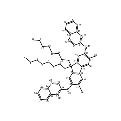 CCCCCCCCC1(CCCCCCCC)c2cc(Sc3cnc4ccccc4n3)c(C)cc2-c2cc(C)c(Sc3cnc4ccccc4n3)cc21